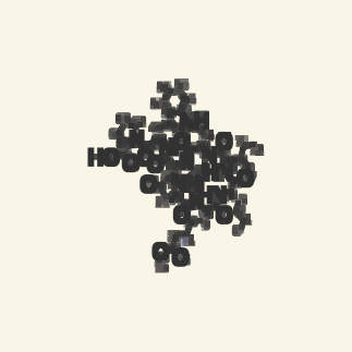 CCCC[C@H](NC(=O)[C@H](CC/C=C/C(=O)OC)NC(=O)[C@@H]1CC(=O)CN1)C(=O)N[C@H](C(=O)N[C@@H](CC(C)C)C(=O)N1CCC[C@H]1C(=O)N[C@@H](Cc1c[nH]c2ccccc12)C(=O)N1CCC[C@H]1C(=O)O)C(C)CC